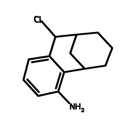 Nc1cccc2c1C1CCCC(C1)C2Cl